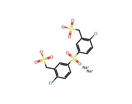 O=S(=O)([O-])Cc1cc(S(=O)(=O)c2ccc(Cl)c(CS(=O)(=O)[O-])c2)ccc1Cl.[Na+].[Na+]